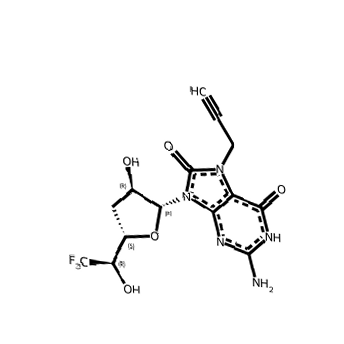 C#CCn1c(=O)n([C@@H]2O[C@H]([C@@H](O)C(F)(F)F)C[C@H]2O)c2nc(N)[nH]c(=O)c21